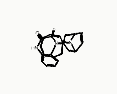 O=c1[nH]c2ccccc2n(C2CC3C=CC(C2)N3C2C=CCCCCC2)c1=O